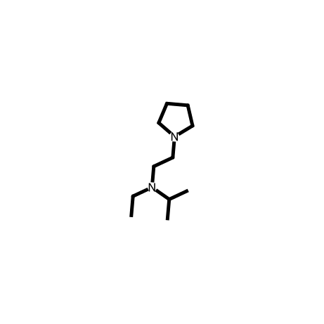 CCN(CCN1CCCC1)C(C)C